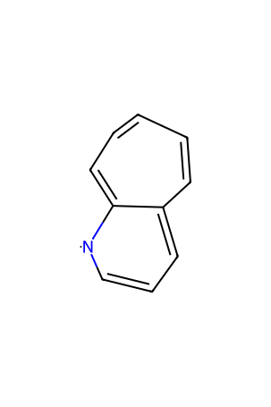 C1=CC=C2[N]C=CC=C2C=C1